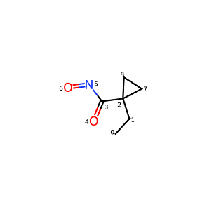 CCC1(C(=O)N=O)CC1